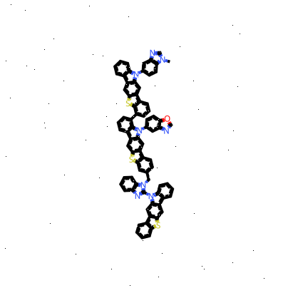 Cn1cnc2cc(-n3c4ccccc4c4cc5sc6c(-c7cccc8c9cc%10sc%11cc(Cn%12c(-n%13c%14ccccc%14c%14cc%15sc%16ccccc%16c%15cc%14%13)nc%13ccccc%13%12)ccc%11c%10cc9n(-c9ccc%10ocnc%10c9)c78)cccc6c5cc43)ccc21